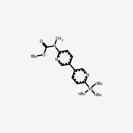 CCC[CH2][Sn]([CH2]CCC)([CH2]CCC)[c]1ccc(-c2ccc(N(C)C(=O)OC(C)(C)C)nc2)cn1